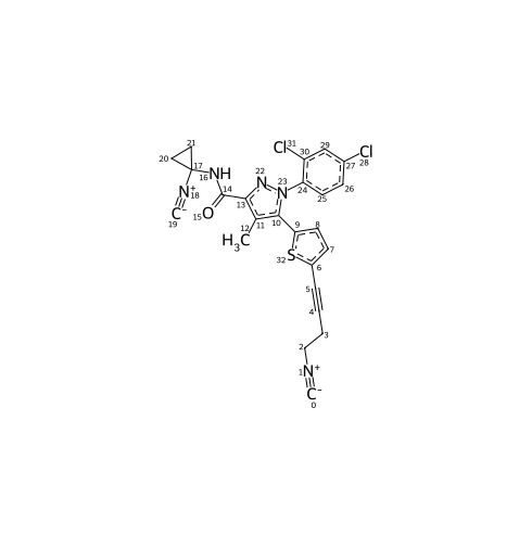 [C-]#[N+]CCC#Cc1ccc(-c2c(C)c(C(=O)NC3([N+]#[C-])CC3)nn2-c2ccc(Cl)cc2Cl)s1